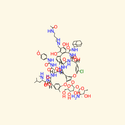 CN[C@H](CC(C)C)C(=O)N[C@H]1C(=O)N[C@@H](CC(=O)NC(=O)Nc2ccc(OC)cc2)C(=O)N[C@H]2C(=O)N[C@H]3C(=O)N[C@H](C(=O)N[C@H](C(=O)NC4C5CC6CC(C5)CC4C6)c4cc(O)c(CNCCCCNC(C)=O)c(C)c4-c4cc3ccc4O)[C@H](O)c3ccc(c(Cl)c3)Oc3cc2cc(c3O[C@@H]2O[C@H](CO)[C@@H](O)[C@H](O)[C@H]2O[C@H]2C[C@](C)(N)[C@H](O)[C@H](C)O2)Oc2ccc(cc2C)[C@H]1O